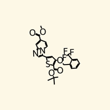 COC(=O)c1ccn2c(-c3cc(OCc4ccccc4C(F)(F)F)c(C(=O)OC(C)(C)C)s3)cnc2c1